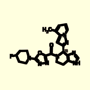 Cc1cccn2nc([C@H]3c4nc[nH]c4CCN3C(=O)c3nnc(N4CCC(F)CC4)o3)cc12